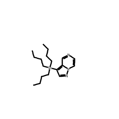 CCC[CH2][Sn]([CH2]CCC)([CH2]CCC)[c]1cnn2ccncc12